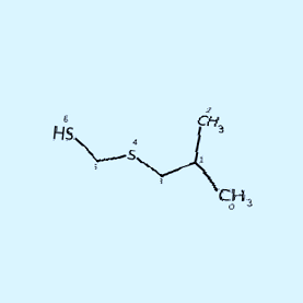 CC(C)CSCS